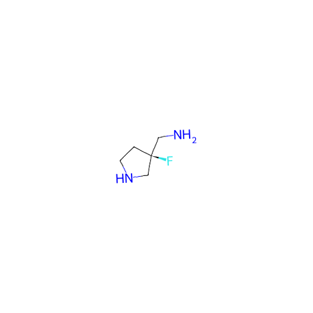 NC[C@@]1(F)CCNC1